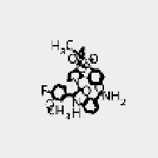 CCOC(=O)[C@H]1CCN(C(=O)[C@@H](Nc2cccc(C(N)=O)c2)c2ccc(F)c(OC)c2)[C@H]1c1ccccc1S(=O)(=O)C1CC1